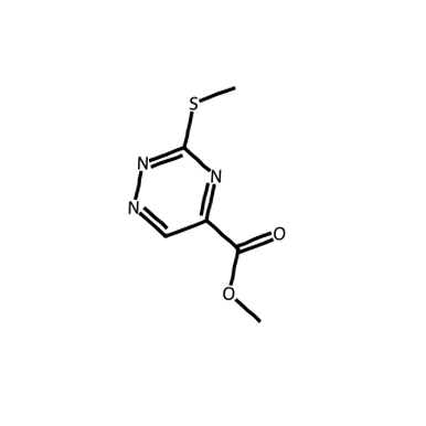 COC(=O)c1cnnc(SC)n1